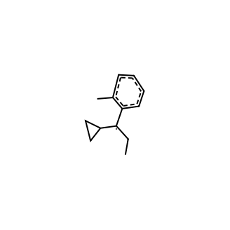 CC[C](c1ccccc1C)C1CC1